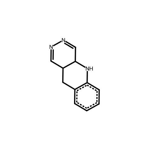 C1=NN=CC2Nc3ccccc3CC12